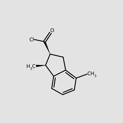 Cc1cccc2c1C[C@H](C(=O)Cl)[C@@H]2C